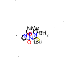 B[C@@H]1CCCN1C(=S)[C@@H](NC(=O)[C@@H]1CCCN1C(=O)CNC)C(C)(C)C